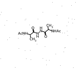 CC(=O)NC(C)C(=O)NNC(=O)C(C)NC(C)=O